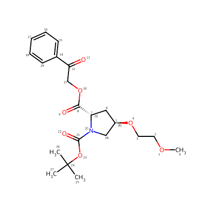 COCCO[C@@H]1C[C@@H](C(=O)OCC(=O)c2ccccc2)N(C(=O)OC(C)(C)C)C1